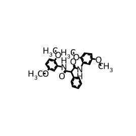 COc1ccc(OC)c(NC(=O)C(C(=O)Nc2cc(OC)ccc2OC)c2ccccc2)c1